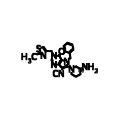 Cc1nc(Cn2cnc3c(C#N)c(N4CCC[C@H](N)C4)n(Cc4ccccc4)c3c2=O)cs1